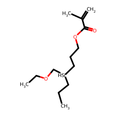 C=C(C)C(=O)OCCC[SiH](CCC)COCC